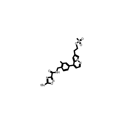 Cc1cc(-c2ccnn3cc(CCOS(C)(=O)=O)cc23)ccc1CNC(=O)c1noc(C(C)(C)C)n1